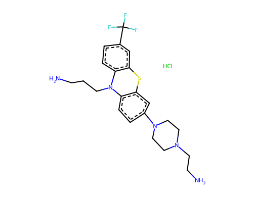 Cl.NCCCN1c2ccc(N3CCN(CCN)CC3)cc2Sc2cc(C(F)(F)F)ccc21